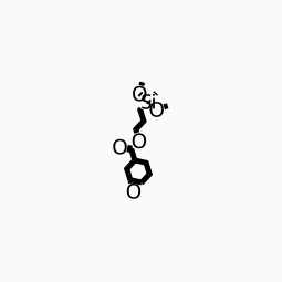 CO[Si](C)(CCCOC(=O)C1CCC2OC2C1)OC